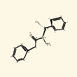 C[C@H](c1ccccc1)N(N)C(=O)Cc1ccccc1